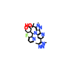 Cc1nnn(C)c1-c1cnc2c3nn(C)c(C(C)(C)O)c3n(C(c3ncccc3F)C3CCOCC3)c2c1